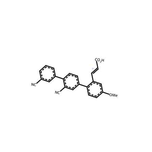 COc1ccc(-c2ccc(-c3cccc(C#N)c3)c(C#N)c2)c(/C=C/C(=O)O)c1